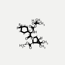 COC(=O)[C@@H]1C2[C@H](CN1C(=O)C(NC(=O)OC(C)(C)C)C1CCC(F)(F)CC1)C2(C)C